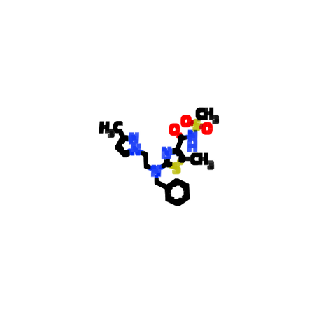 Cc1ccn(CCN(Cc2ccccc2)c2nc(C(=O)NS(C)(=O)=O)c(C)s2)n1